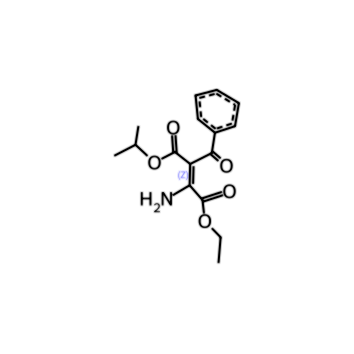 CCOC(=O)/C(N)=C(/C(=O)OC(C)C)C(=O)c1ccccc1